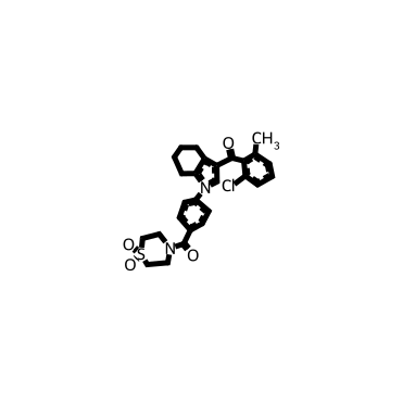 Cc1cccc(Cl)c1C(=O)c1cn(-c2ccc(C(=O)N3CCS(=O)(=O)CC3)cc2)c2c1CCCC2